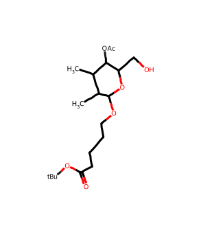 CC(=O)OC1C(CO)OC(OCCCCC(=O)OC(C)(C)C)C(C)C1C